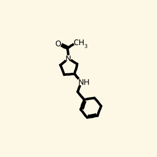 CC(=O)N1CCC(NCC2=CC=CCC2)C1